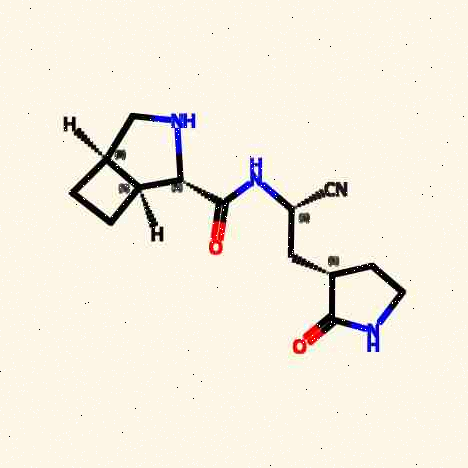 N#C[C@H](C[C@@H]1CCNC1=O)NC(=O)[C@H]1NC[C@@H]2CC[C@@H]21